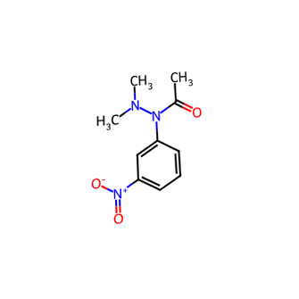 CC(=O)N(c1cccc([N+](=O)[O-])c1)N(C)C